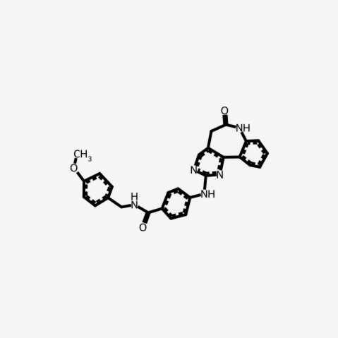 COc1ccc(CNC(=O)c2ccc(Nc3ncc4c(n3)-c3ccccc3NC(=O)C4)cc2)cc1